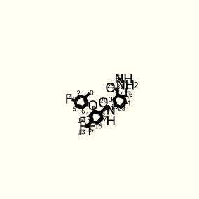 Cc1cc(F)ccc1Oc1cc(C(F)(F)F)ccc1C(=O)Nc1ccc(F)c(C(=O)NN)c1